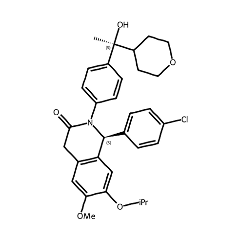 COc1cc2c(cc1OC(C)C)[C@H](c1ccc(Cl)cc1)N(c1ccc([C@@](C)(O)C3CCOCC3)cc1)C(=O)C2